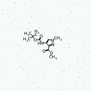 COC(=O)c1nn(C)cc1NC(=O)OC(C)(C)C